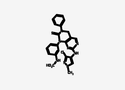 Cn1cc(Nc2ncc3c(n2)N(c2cccc(NC(=O)O)c2)C(=S)N(c2ccccc2)C3)c(Cl)n1